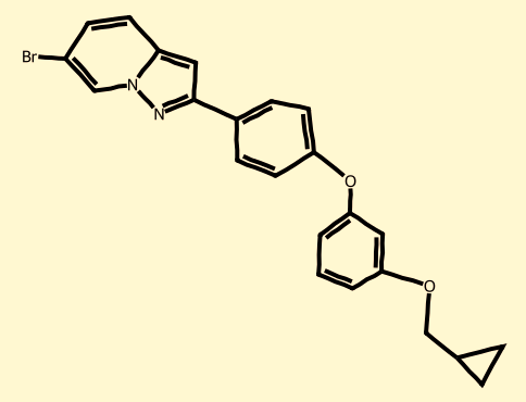 Brc1ccc2cc(-c3ccc(Oc4cccc(OCC5CC5)c4)cc3)nn2c1